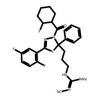 CN/C(=N/C#N)NCCCC1(c2ccccc2)SC(c2cc(F)ccc2F)=NN1C(=O)C1CCCCC1F